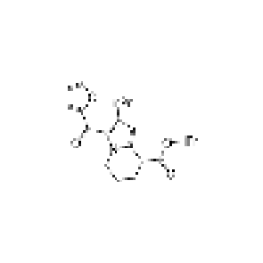 CCCc1cc2n(c1C(=O)c1ccco1)CCCC2C(=O)OC(C)C